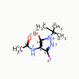 CC(=O)Nc1c(I)nn(C(C)(C)C)c1Br